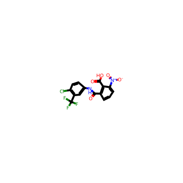 O=C(Nc1ccc(Cl)c(C(F)(F)F)c1)c1cccc([N+](=O)[O-])c1C(=O)O